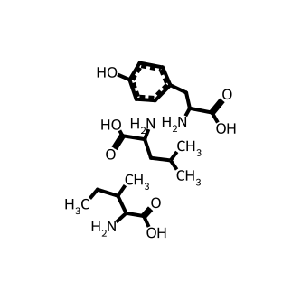 CC(C)CC(N)C(=O)O.CCC(C)C(N)C(=O)O.NC(Cc1ccc(O)cc1)C(=O)O